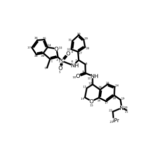 Cc1c(S(=O)(=O)NC(CC(=O)NC2CCOc3cc(CN(C)CC(C)C)ccc32)c2ccccc2)oc2ccccc12